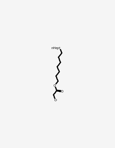 CCCCCCCCCCCCCCOC(=O)C[O]